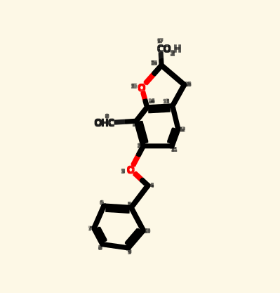 O=Cc1c(OCc2ccccc2)ccc2c1OC(C(=O)O)C2